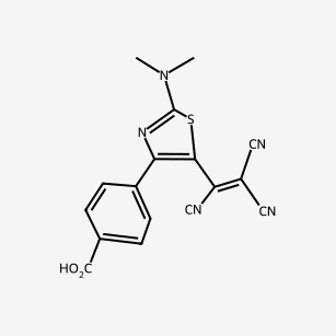 [C-]#[N+]C(=C(C#N)C#N)c1sc(N(C)C)nc1-c1ccc(C(=O)O)cc1